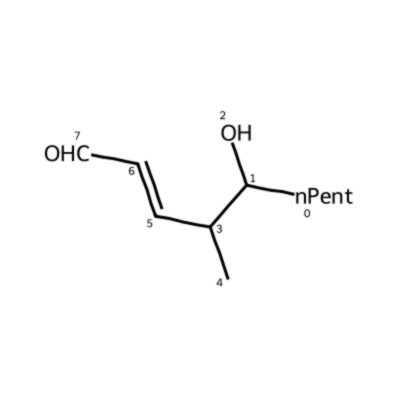 CCCCCC(O)C(C)/C=C/C=O